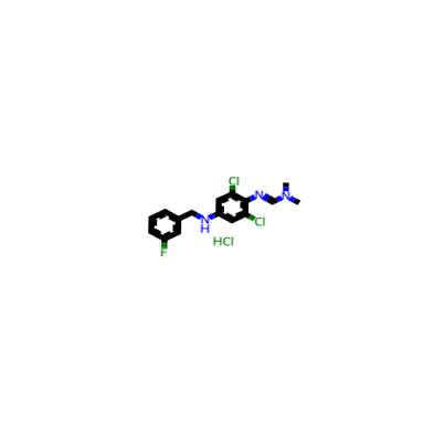 CN(C)C=Nc1c(Cl)cc(NCc2cccc(F)c2)cc1Cl.Cl